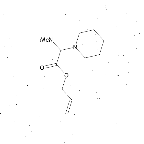 C=CCOC(=O)C(NC)N1CCCCC1